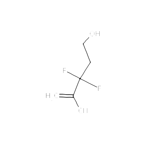 C=C(C)C(F)(F)CCO